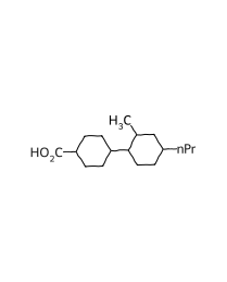 CCCC1CCC(C2CCC(C(=O)O)CC2)C(C)C1